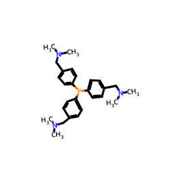 CN(C)Cc1ccc(P(c2ccc(CN(C)C)cc2)c2ccc(CN(C)C)cc2)cc1